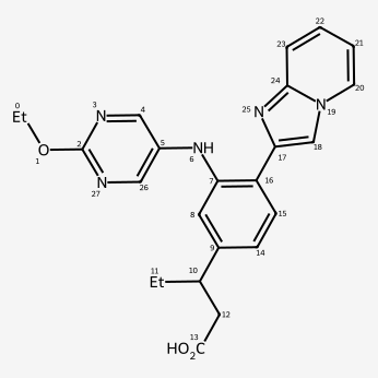 CCOc1ncc(Nc2cc(C(CC)CC(=O)O)ccc2-c2cn3ccccc3n2)cn1